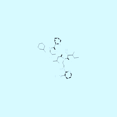 CCC(C)[C@H](N)C(=O)N(CCNc1ncccc1N)C(=O)[C@@H](C[C@H](O)[C@H](CC1CCCCC1)NC(=O)c1ccccn1)C(C)C